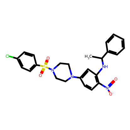 CC(Nc1cc(N2CCN(S(=O)(=O)c3ccc(Cl)cc3)CC2)ccc1[N+](=O)[O-])c1ccccc1